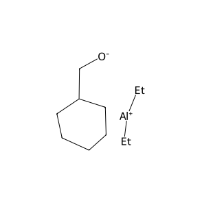 C[CH2][Al+][CH2]C.[O-]CC1CCCCC1